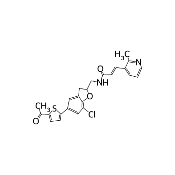 CC(=O)c1ccc(-c2cc(Cl)c3c(c2)CC(CNC(=O)C=Cc2cccnc2C)O3)s1